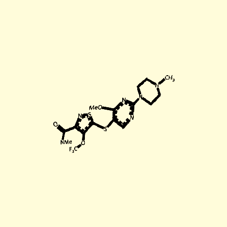 CNC(=O)c1nsc(Sc2cnc(N3CCN(C)CC3)nc2OC)c1OC(F)(F)F